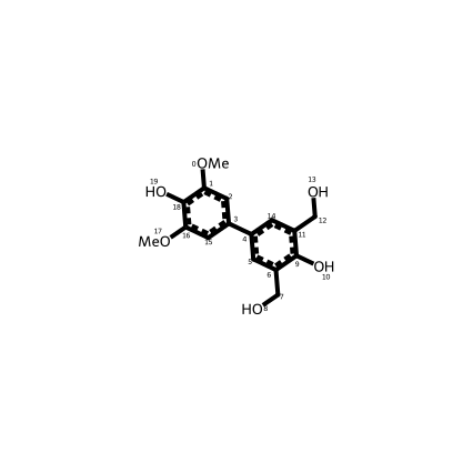 COc1cc(-c2cc(CO)c(O)c(CO)c2)cc(OC)c1O